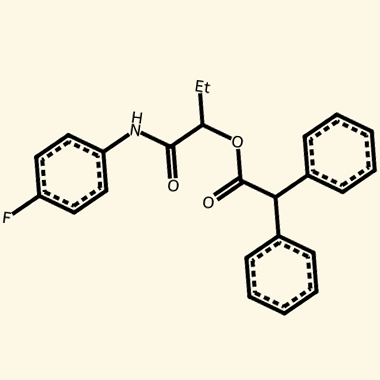 CCC(OC(=O)C(c1ccccc1)c1ccccc1)C(=O)Nc1ccc(F)cc1